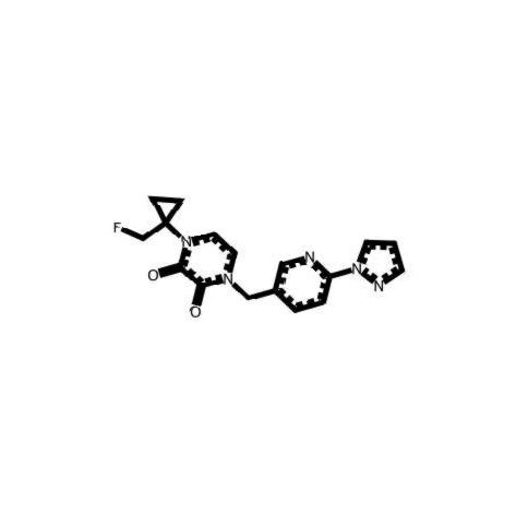 O=c1c(=O)n(C2(CF)CC2)ccn1Cc1ccc(-n2cccn2)nc1